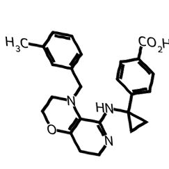 Cc1cccc(CN2CCOC3=C2C(NC2(c4ccc(C(=O)O)cc4)CC2)=NCC3)c1